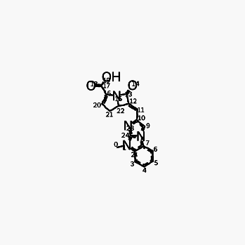 Cn1c2ccccc2n2cc(/C=C3/C(=O)N4C(C(=O)O)=CCC34)nc12